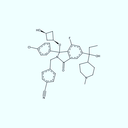 CCC(O)(c1cc(F)c2c(c1)C(=O)N(Cc1ccc(C#N)cc1)C2(O[C@H]1C[C@@H](O)C1)c1ccc(Cl)cc1)C1CCN(C)CC1